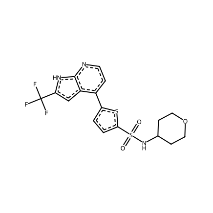 O=S(=O)(NC1CCOCC1)c1ccc(-c2ccnc3[nH]c(C(F)(F)F)cc23)s1